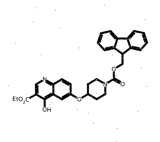 CCOC(=O)c1cnc2ccc(OC3CCN(C(=O)OCC4c5ccccc5-c5ccccc54)CC3)cc2c1O